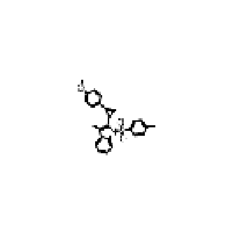 COc1ccc(C2CC2c2c(C)c3ccccc3n2S(=O)(=O)c2ccc(C)cc2)cc1